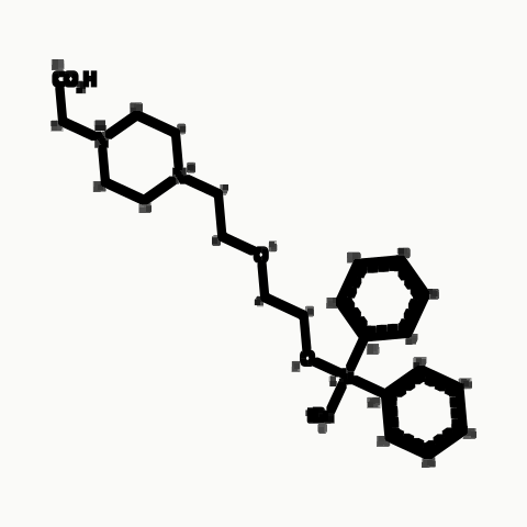 CC(C)(C)[Si](OCCOCCN1CCN(CC(=O)O)CC1)(c1ccccc1)c1ccccc1